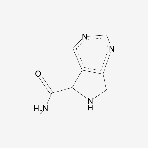 NC(=O)C1NCc2ncncc21